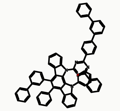 c1ccc(-c2cccc(-c3ccc(-c4nc(-c5ccccc5)nc(-n5c6ccccc6c6c(-c7cccc(-c8ccccc8)c7)c(-c7ccccc7)c7c8ccccc8n(-c8ccccc8)c7c65)n4)cc3)c2)cc1